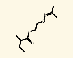 CCC(C)C(=O)OCCON=C(C)C